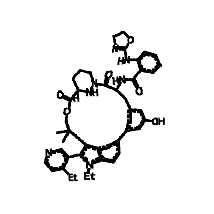 CCc1ccncc1-c1c2c3cc(ccc3n1CC)-c1cc(O)cc(c1)C[C@H](NC(=O)c1ccccc1NC1=NCCO1)C(=O)N1CCC[C@H](N1)C(=O)OCC(C)(C)C2